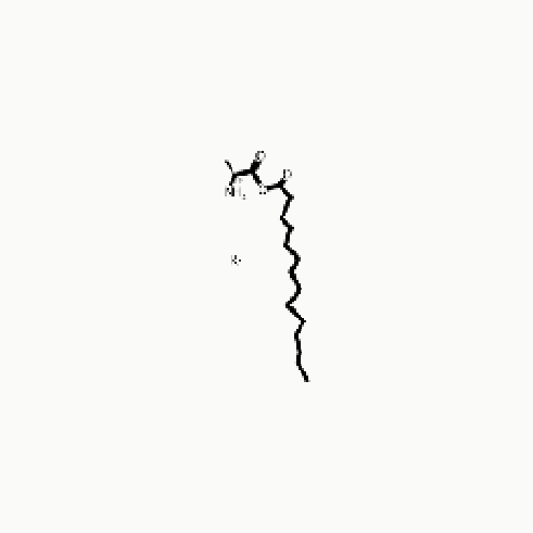 CCCCCCCCCCCCCC(=O)OC(=O)[C@H](C)N.[K]